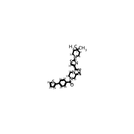 CC1(C)CCN(c2nc(-c3nnc4n3CCN(C(=O)c3ccc(-c5cccs5)cc3)C4)cs2)CC1